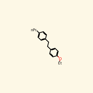 CCCc1ccc(CCc2ccc(OCC)cc2)cc1